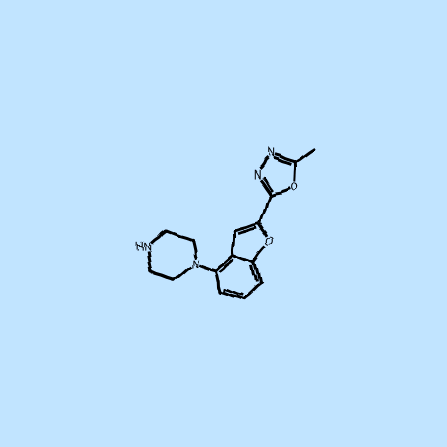 Cc1nnc(-c2cc3c(N4CCNCC4)cccc3o2)o1